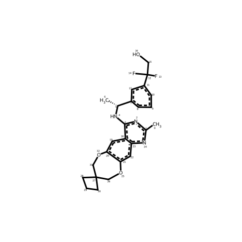 Cc1nc(N[C@H](C)c2cccc(C(F)(F)CO)c2)c2cc3c(cc2n1)OCC1(CCC1)CO3